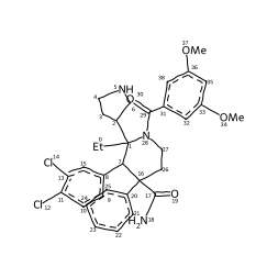 CCC1(C2CCNC2)C(c2ccc(Cl)c(Cl)c2)C(C(N)=O)(c2ccccc2)CCN1C(=O)c1cc(OC)cc(OC)c1